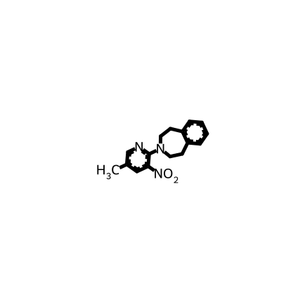 Cc1cnc(N2CCc3ccccc3CC2)c([N+](=O)[O-])c1